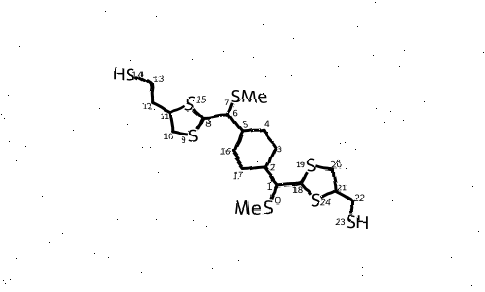 CSC(C1CCC(C(SC)C2SCC(CCS)S2)CC1)C1SCC(CS)S1